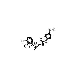 CN(CCNC(=O)Oc1ccc([N+](=O)[O-])cc1)S(=O)(=O)c1cccc(Cl)c1Cl